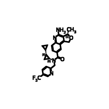 C[C@@H]1OCc2c1c(N)nc1ccc(C(=O)N(Cc3ccc(C(F)(F)F)cn3)[C@@H]3C[C@@H]3C3CC3)cc21